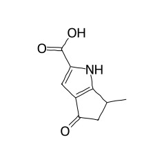 CC1CC(=O)c2cc(C(=O)O)[nH]c21